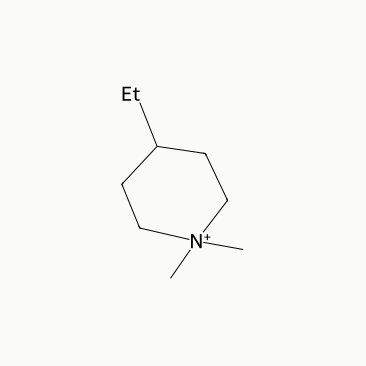 CCC1CC[N+](C)(C)CC1